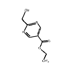 CCOC(=O)c1cnc(CO)nc1